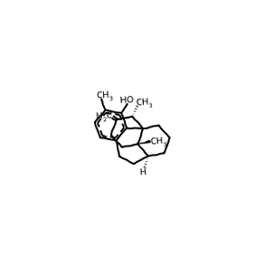 C=C1CC[C@@]2(C)[C@H]3CCCC2(c2c(ccc(C)c2O)CC3)[C@H]1C